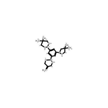 C=C1COB(c2cc(B3CC(C)(C)CO3)cc(B3OCC(C)(C)CO3)c2)OC1